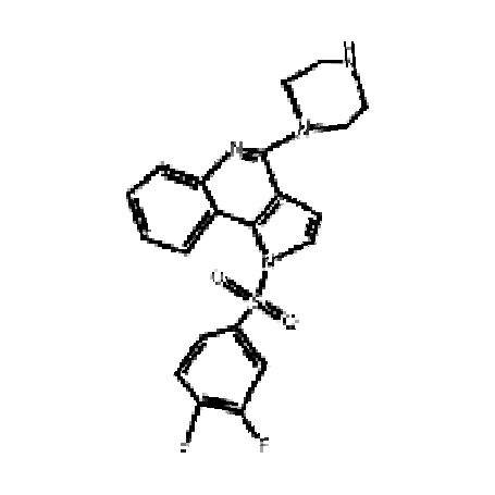 O=S(=O)(c1ccc(F)c(F)c1)n1ccc2c(N3CCNCC3)nc3ccccc3c21